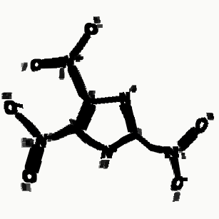 O=[N+]([O-])C1=NC([N+](=O)[O-])=C([N+](=O)[O-])[N]1